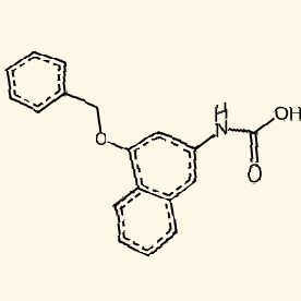 O=C(O)Nc1cc(OCc2ccccc2)c2ccccc2c1